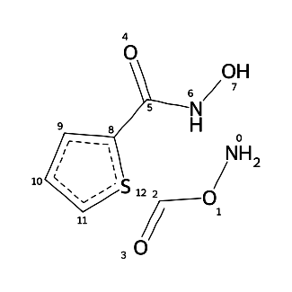 NOC=O.O=C(NO)c1cccs1